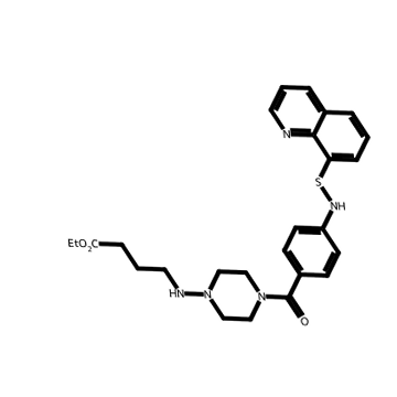 CCOC(=O)CCCNN1CCN(C(=O)c2ccc(NSc3cccc4cccnc34)cc2)CC1